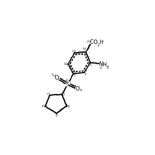 Nc1cc(S(=O)(=O)C2CCCC2)ccc1C(=O)O